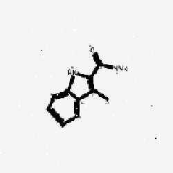 CNC(=O)c1[nH]c2ccccc2c1C